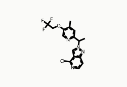 Cc1cc(C(C)n2cc3c(Cl)nccc3n2)ncc1OCC(F)(F)F